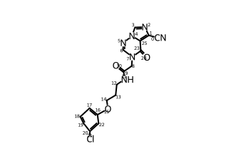 N#Cc1ncn2ncn(CC(=O)NCCCOc3cccc(Cl)c3)c(=O)c12